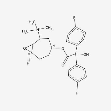 C[N+](C)(C)C1C[C@H](OC(=O)C(O)(c2ccc(F)cc2)c2ccc(F)cc2)CC[C@H]2OC12